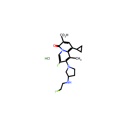 Cc1c(N2CCC(NCCF)C2)c(F)cn2c(=O)c(C(=O)O)cc(C3CC3)c12.Cl